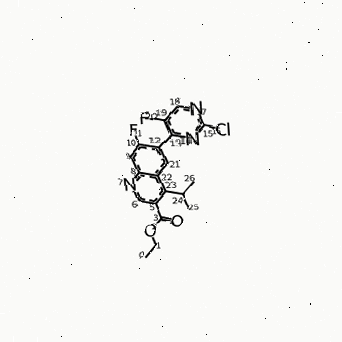 CCOC(=O)c1cnc2cc(F)c(-c3nc(Cl)ncc3F)cc2c1C(C)C